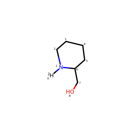 [2H]N1CCCCC1CO